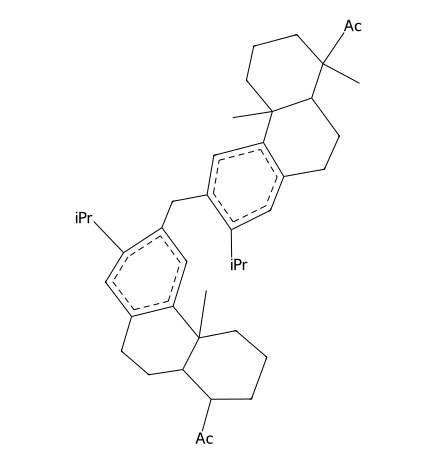 CC(=O)C1CCCC2(C)c3cc(Cc4cc5c(cc4C(C)C)CCC4C(C)(C(C)=O)CCCC54C)c(C(C)C)cc3CCC12